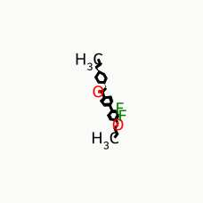 CCCOc1ccc(-c2ccc(C(=O)C[C@H]3CC[C@H](CCC)CC3)cc2)c(F)c1F